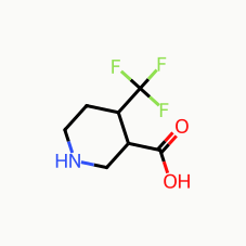 O=C(O)C1CNCCC1C(F)(F)F